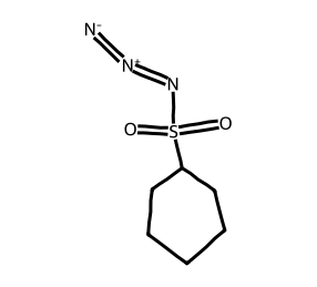 [N-]=[N+]=NS(=O)(=O)C1CCCCC1